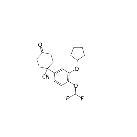 N#CC1(c2ccc(OC(F)F)c(OC3CCCC3)c2)CCC(=O)CC1